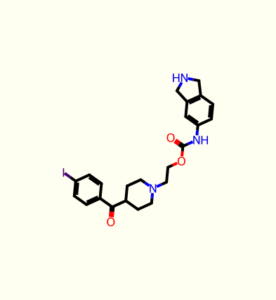 O=C(Nc1ccc2c(c1)CNC2)OCCN1CCC(C(=O)c2ccc(I)cc2)CC1